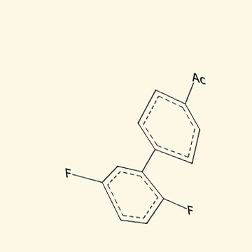 CC(=O)c1ccc(-c2cc(F)ccc2F)cc1